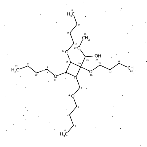 CCCCOCC1C(OCCCC)C(OCCCC)C1(OCCCC)C(O)OC